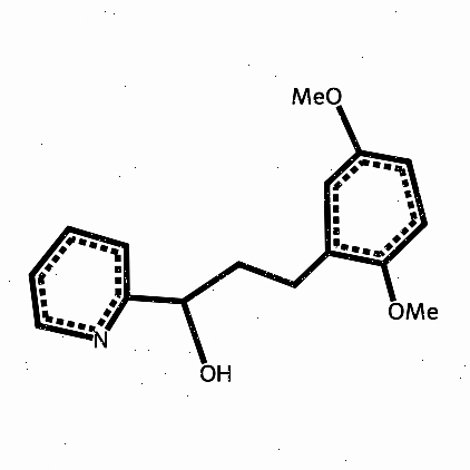 COc1ccc(OC)c(CCC(O)c2ccccn2)c1